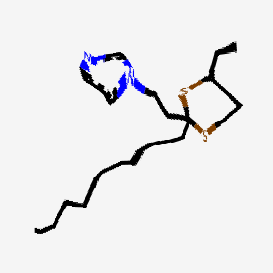 CCCCCCCCC1(CCn2ccnc2)SCCC(CC)S1